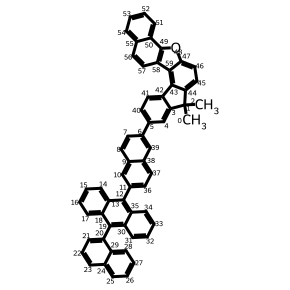 CC1(C)c2cc(-c3ccc4cc(-c5c6ccccc6c(-c6cccc7ccccc67)c6ccccc56)ccc4c3)ccc2-c2c1ccc1oc3c4ccccc4ccc3c21